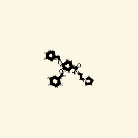 O=C(NCCN1CCCC1)c1ccc(OCc2ccccc2)c(OCc2ccccc2)c1